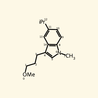 COCCCc1cn(C)c2ccc(C(C)C)cc12